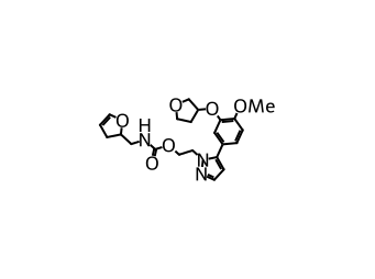 COc1ccc(-c2ccnn2CCOC(=O)NCC2CC=CO2)cc1OC1CCOC1